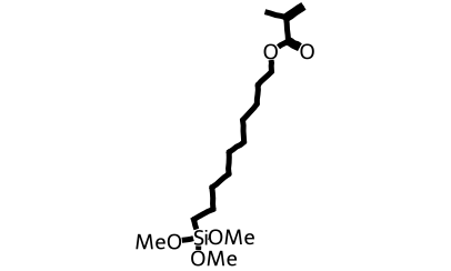 C=C(C)C(=O)OCCCCCCCCCC[Si](OC)(OC)OC